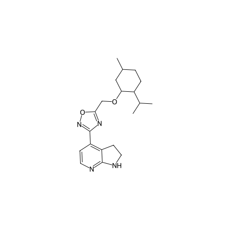 CC1CCC(C(C)C)C(OCc2nc(-c3ccnc4c3CCN4)no2)C1